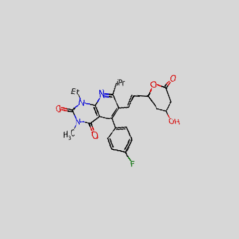 CCn1c(=O)n(C)c(=O)c2c(-c3ccc(F)cc3)c(C=CC3CC(O)CC(=O)O3)c(C(C)C)nc21